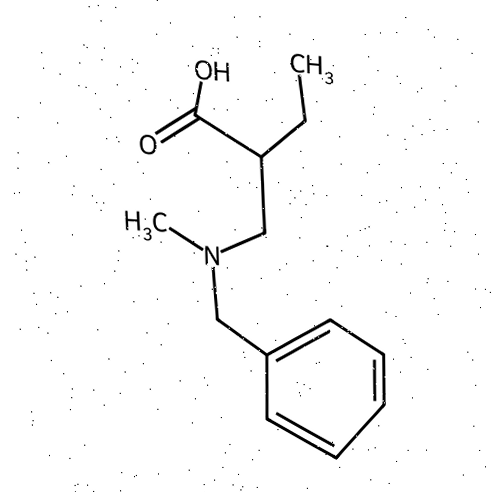 CCC(CN(C)Cc1ccccc1)C(=O)O